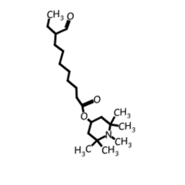 CCC(C=O)CCCCCCCC(=O)OC1CC(C)(C)N(C)C(C)(C)C1